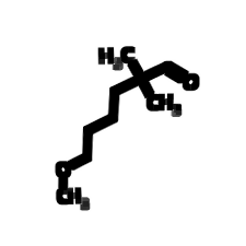 COCCCCC(C)(C)C=O